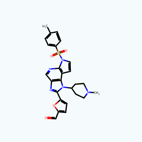 Cc1ccc(S(=O)(=O)n2ccc3c2ncc2nc(-c4ccc(C=O)o4)n(C4CCN(C)CC4)c23)cc1